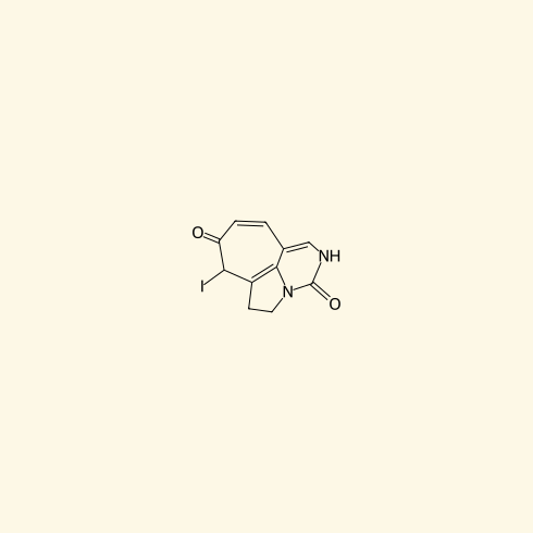 O=C1C=CC2=CNC(=O)N3CCC(=C23)C1I